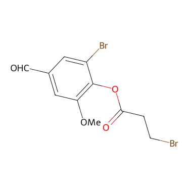 COc1cc(C=O)cc(Br)c1OC(=O)CCBr